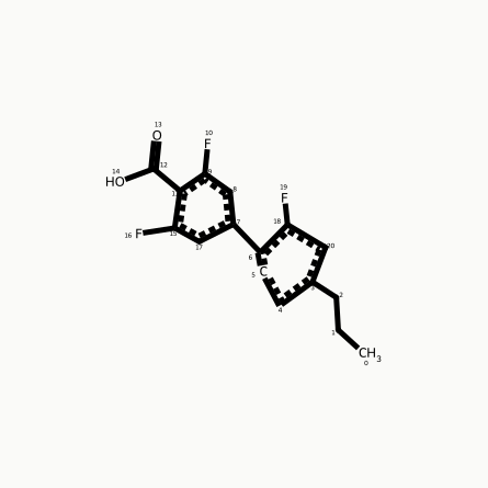 CCCc1ccc(-c2cc(F)c(C(=O)O)c(F)c2)c(F)c1